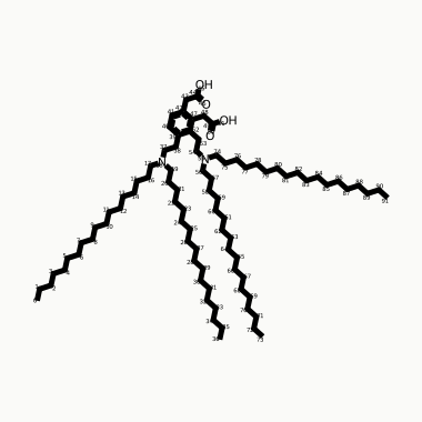 CCCCCCCCCCCCCCCCCCN(CCCCCCCCCCCCCCCCCC)CCc1ccc(CC(=O)O)c(CC(=O)O)c1CCN(CCCCCCCCCCCCCCCCCC)CCCCCCCCCCCCCCCCCC